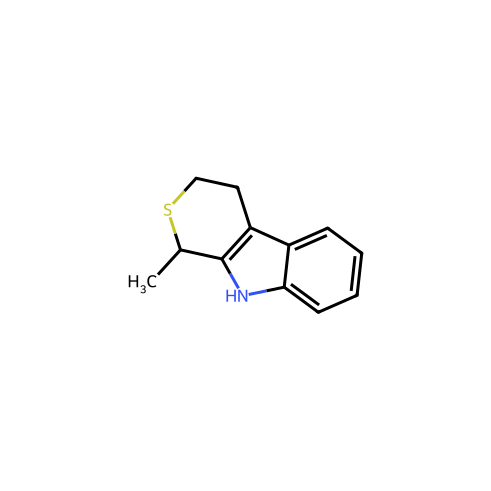 CC1SCCc2c1[nH]c1ccccc21